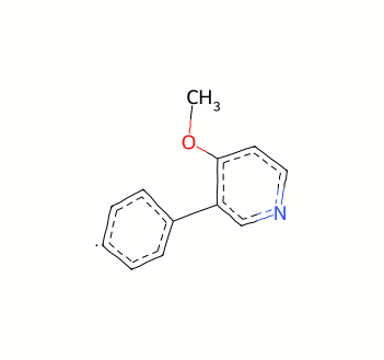 COc1ccncc1-c1cc[c]cc1